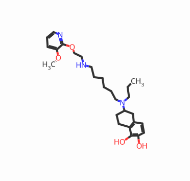 CCCN(CCCCCCNCCOc1ncccc1OC)C1CCc2c(ccc(O)c2O)C1